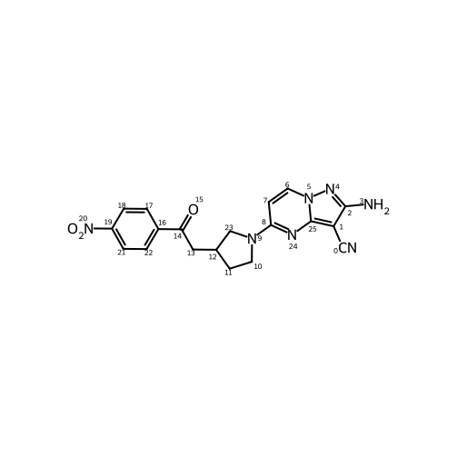 N#Cc1c(N)nn2ccc(N3CCC(CC(=O)c4ccc([N+](=O)[O-])cc4)C3)nc12